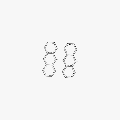 [c]1c2ccccc2c(-c2c3ccccc3cc3ccccc23)c2ccccc12